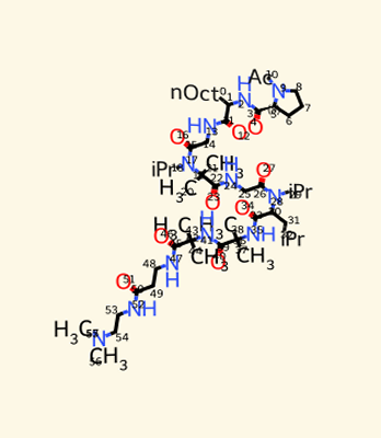 CCCCCCCCC(NC(=O)[C@@H]1CCCN1C(C)=O)C(=O)NCC(=O)N(C(C)C)C(C)(C)C(=O)NCC(=O)N(C(C)C)C(CC(C)C)C(=O)NC(C)(C)C(=O)NC(C)(C)C(=O)NCCC(=O)NCCN(C)C